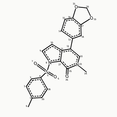 Cc1ccc(S(=O)(=O)n2ccc3c(-c4ccc5c(c4)OCO5)cn(C)c(=O)c32)cc1